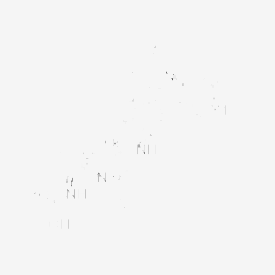 CC(C)[C@H](NC(=O)O)C(=O)N1CCC[C@H]1C(=O)Nc1ccc([C@@H]2CCCN2c2ccc(F)cc2)cc1